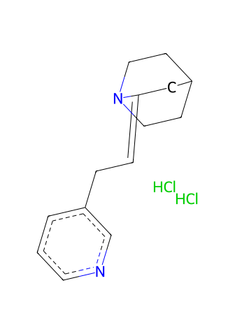 C(Cc1cccnc1)=C1CC2CCN1CC2.Cl.Cl